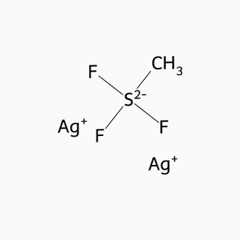 C[S-2](F)(F)F.[Ag+].[Ag+]